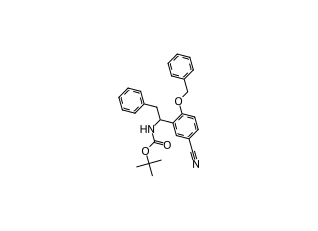 CC(C)(C)OC(=O)NC(Cc1ccccc1)c1cc(C#N)ccc1OCc1ccccc1